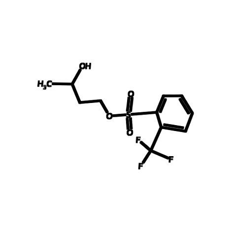 CC(O)CCOS(=O)(=O)c1ccccc1C(F)(F)F